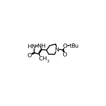 Cc1c(C2CCN(C(=O)OC(C)(C)C)CC2)[nH][nH]c1=O